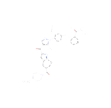 CNC1CCN(C(=O)c2ccc3[nH]c(C(=O)c4cnn(-c5ccc(Oc6ccccc6C(=O)N(C)C)cc5CI)c4N)cc3c2)CC1